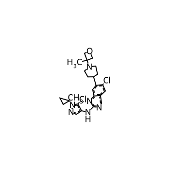 CC1(N2CCC(c3cc4nc(Nc5cnn(C6(C)CC6)c5Cl)ncc4cc3Cl)CC2)COC1